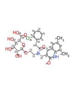 Cc1cc(C)c2[nH]c(=O)c(CN(CCOC3OC(C(=O)O)C(O)C(O)C3O)C(=O)Cc3ccccc3Cl)cc2c1